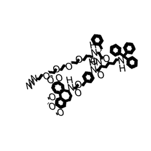 COc1cc2c(c(OC)c1OC)-c1ccc(OC)c(=O)cc1[C@@H](NC(=O)OCc1ccc(NC(=O)C(CCCCNC(c3ccccc3)(c3ccccc3)c3ccccc3)NC(=O)[C@@H](Cc3ccccc3)NC(=O)CCOCCOCCOCCOCCN=[N+]=[N-])cc1)CC2